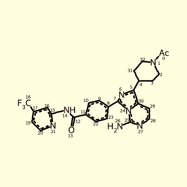 CC(=O)N1CCC(c2nc(-c3ccc(C(=O)Nc4cc(C(F)(F)F)ccn4)cc3)n3c(N)nccc23)CC1